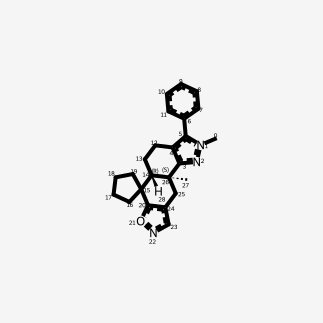 Cn1nc2c(c1-c1ccccc1)CC[C@H]1C3(CCCC3)c3oncc3C[C@]21C